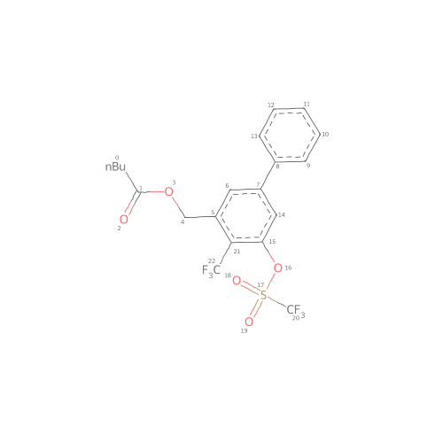 CCCCC(=O)OCc1cc(-c2ccccc2)cc(OS(=O)(=O)C(F)(F)F)c1C(F)(F)F